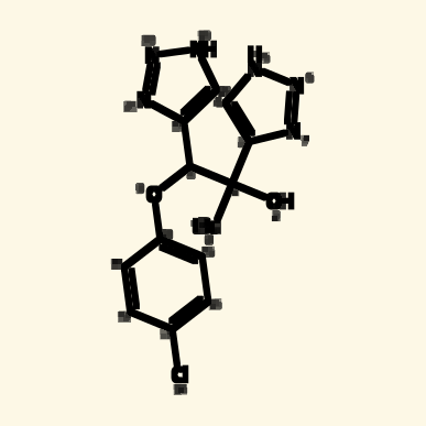 CC(C)(C)C(O)(c1c[nH]nn1)C(Oc1ccc(Cl)cc1)c1c[nH]nn1